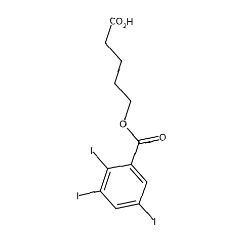 O=C(O)CCCCOC(=O)c1cc(I)cc(I)c1I